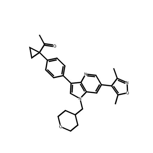 CC(=O)C1(c2ccc(-c3cn(CC4CCOCC4)c4cc(-c5c(C)noc5C)cnc34)cc2)CC1